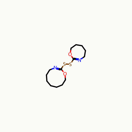 C1CCC/N=C(/SS/C2=N/CCCCCO2)OCCC1